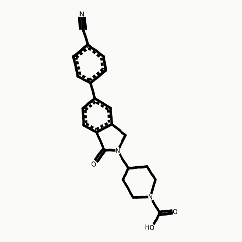 N#Cc1ccc(-c2ccc3c(c2)CN(C2CCN(C(=O)O)CC2)C3=O)cc1